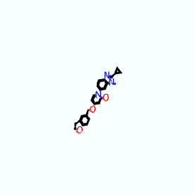 Cn1c(C2CC2)nc2ccc(-n3ccc(OCc4ccc5c(c4)CCO5)cc3=O)cc21